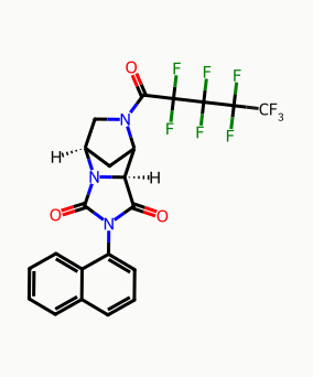 O=C1[C@@H]2C3C[C@H](CN3C(=O)C(F)(F)C(F)(F)C(F)(F)C(F)(F)F)N2C(=O)N1c1cccc2ccccc12